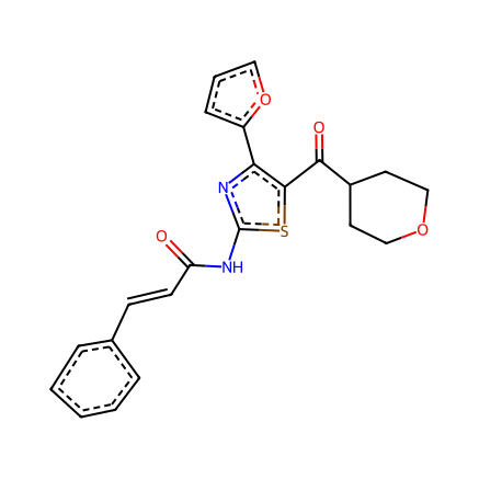 O=C(C=Cc1ccccc1)Nc1nc(-c2ccco2)c(C(=O)C2CCOCC2)s1